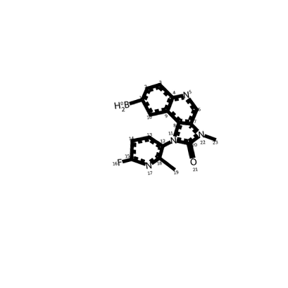 Bc1ccc2ncc3c(c2c1)n(-c1ccc(F)nc1C)c(=O)n3C